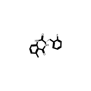 Cc1cccc2c1C(=O)N[C@@H](Cc1ccccc1F)C(=O)N2